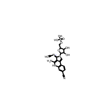 C#C/N=c1\c2c(N)[nH]c3cc(C#N)ccc3c-2cn1C1OC(COP(=O)(O)O)C(O)C1O